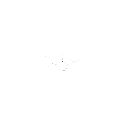 COC(=O)C1OC=C(C(F)(F)F)C1=O